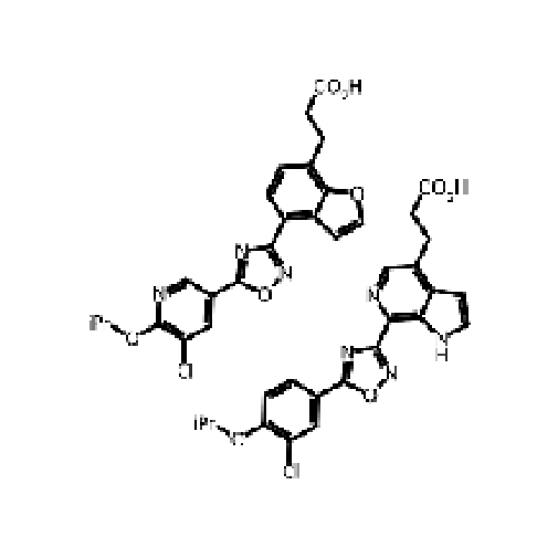 CC(C)Oc1ccc(-c2nc(-c3ncc(CCC(=O)O)c4cc[nH]c34)no2)cc1Cl.CC(C)Oc1ncc(-c2nc(-c3ccc(CCC(=O)O)c4occc34)no2)cc1Cl